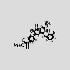 COC(=O)Nc1ccc(-c2cc([C@H](Cc3cccc(F)c3)NC(=O)OC(C)(C)C)n[nH]c2=O)cc1